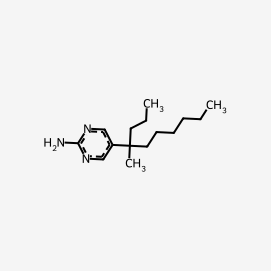 CCCCCCC(C)(CCC)c1cnc(N)nc1